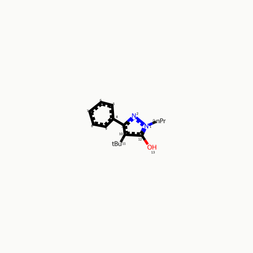 CCCn1nc(-c2ccccc2)c(C(C)(C)C)c1O